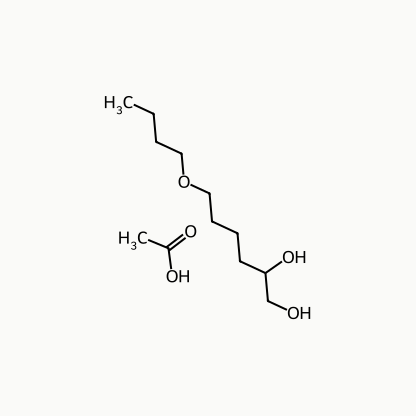 CC(=O)O.CCCCOCCCCC(O)CO